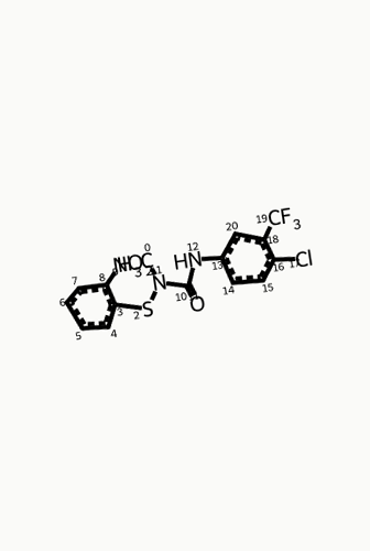 CN(Sc1ccccc1[N+](=O)[O-])C(=O)Nc1ccc(Cl)c(C(F)(F)F)c1